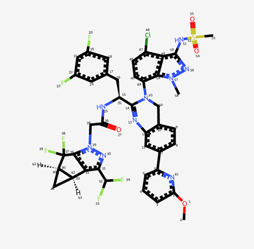 COc1cccc(-c2ccc3c(c2)N=C([C@H](Cc2cc(F)cc(F)c2)NC(=O)Cn2nc(C(F)F)c4c2C(F)(F)[C@@H]2C[C@H]42)N(c2ccc(Cl)c4c(NS(C)(=O)=O)nn(C)c24)C3)n1